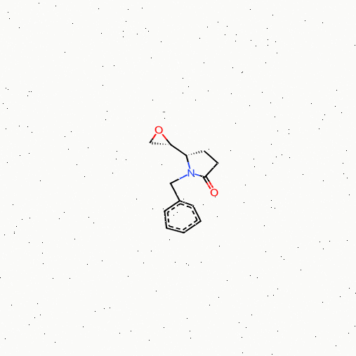 O=C1CC[C@@H]([C@@H]2CO2)N1Cc1ccccc1